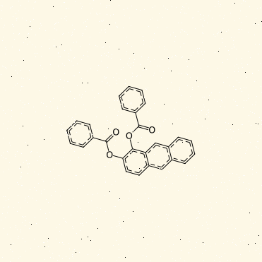 O=C(Oc1ccc2cc3ccccc3cc2c1OC(=O)c1ccccc1)c1ccccc1